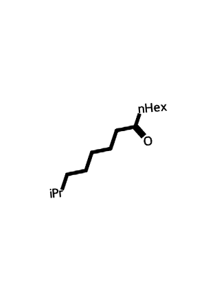 CCCCCCC(=O)CCCCCC(C)C